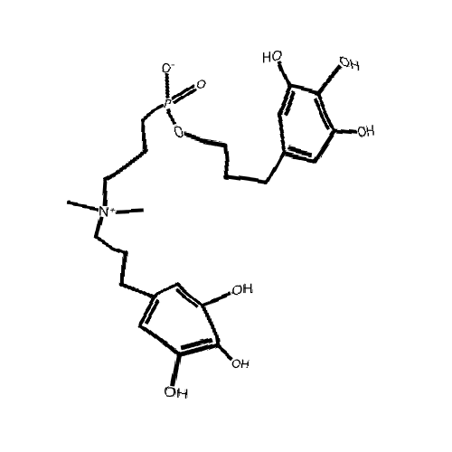 C[N+](C)(CCCc1cc(O)c(O)c(O)c1)CCCP(=O)([O-])OCCCc1cc(O)c(O)c(O)c1